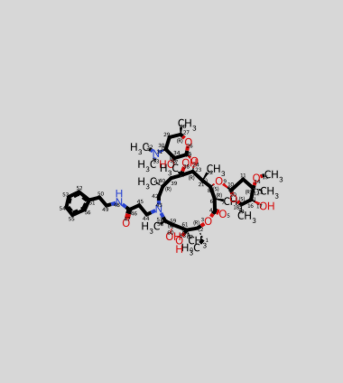 CC[C@H]1OC(=O)[C@H](C)[C@@H](O[C@H]2C[C@@](C)(OC)[C@@H](O)[C@H](C)O2)[C@H](C)[C@@H](O[C@@H]2O[C@H](C)C[C@H](N(C)C)[C@H]2O)[C@](C)(O)C[C@@H](C)CN(CCC(=O)NCCc2ccccc2)[C@H](C)[C@@H](O)[C@]1(C)O